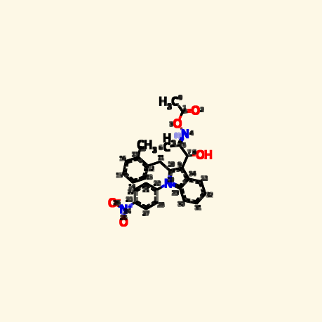 CC(=O)O/N=C(\C)C(O)c1c(Cc2ccccc2C)n(-c2ccc([N+](=O)[O-])cc2)c2ccccc12